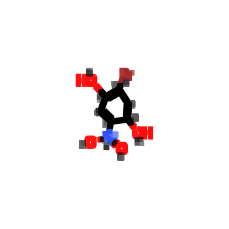 O=[N+]([O-])c1cc(O)c(Br)cc1O